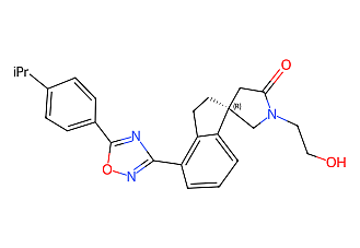 CC(C)c1ccc(-c2nc(-c3cccc4c3CC[C@@]43CC(=O)N(CCO)C3)no2)cc1